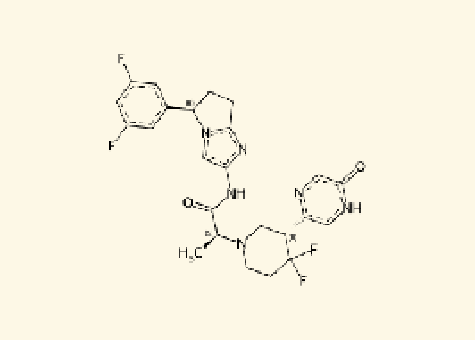 C[C@@H](C(=O)Nc1cn2c(n1)CC[C@@H]2c1cc(F)cc(F)c1)N1CCC(F)(F)[C@@H](c2c[nH]c(=O)cn2)C1